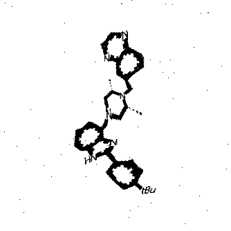 C[C@@H]1CN(c2cccc3[nH]c(-c4ccc(C(C)(C)C)cc4)nc23)C[C@H](C)N1Cc1ccc2nccnc2c1